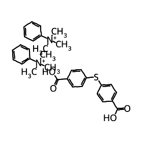 C[N+](C)(C)c1ccccc1.C[N+](C)(C)c1ccccc1.O=C(O)c1ccc(Sc2ccc(C(=O)O)cc2)cc1